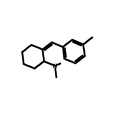 Cc1cccc(/C=C2/CCCCC2N(C)C)c1